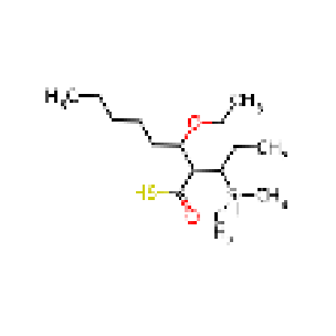 CCCCCC(OCC)C(C(=O)S)C(CC)[SiH](C)C